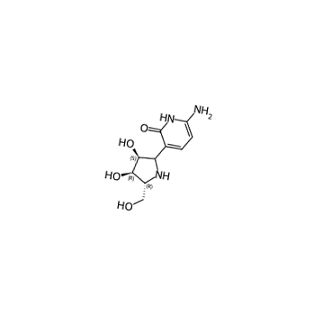 Nc1ccc(C2N[C@H](CO)[C@@H](O)[C@H]2O)c(=O)[nH]1